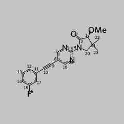 COC1C(=O)N(c2ncc(C#Cc3cccc(F)c3)cn2)CC1(C)C